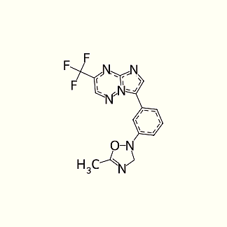 CC1=NCN(c2cccc(-c3cnc4nc(C(F)(F)F)cnn34)c2)O1